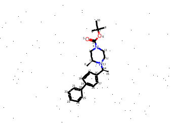 C[C@H]1CN(C(=O)OC(C)(C)C)CCN1[C@@H](C)c1ccc(-c2ccccc2)cc1